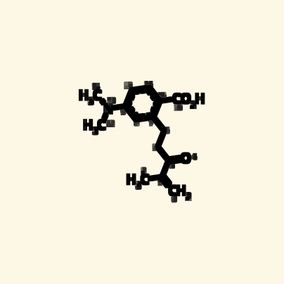 C=C(C)C(=O)CCc1cc(N(C)C)ccc1C(=O)O